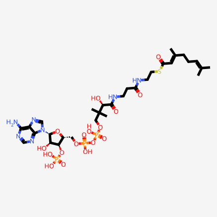 CC(C)=CCC/C(C)=C/C(=O)SCCNC(=O)CCNC(=O)[C@H](O)C(C)(C)COP(=O)(O)OP(=O)(O)OC[C@H]1O[C@@H](n2cnc3c(N)ncnc32)[C@H](O)[C@@H]1OP(=O)(O)O